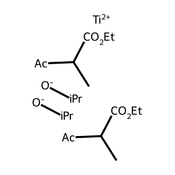 CC(C)[O-].CC(C)[O-].CCOC(=O)C(C)C(C)=O.CCOC(=O)C(C)C(C)=O.[Ti+2]